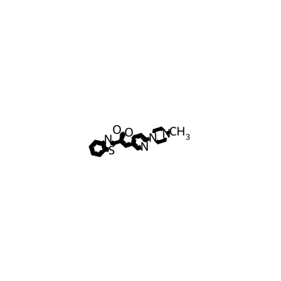 CN1CCN(c2cc3oc(=O)c(-c4nc5ccccc5s4)cc3cn2)CC1